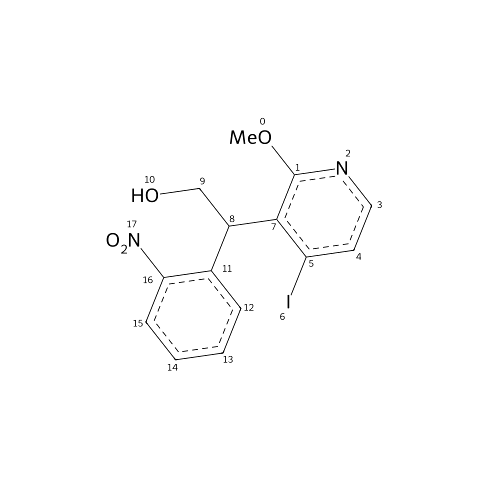 COc1nccc(I)c1C(CO)c1ccccc1[N+](=O)[O-]